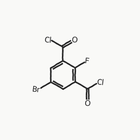 O=C(Cl)c1cc(Br)cc(C(=O)Cl)c1F